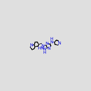 c1cnc2ccc(CN3NNc4ncc(Nc5ccncc5)nc43)cc2c1